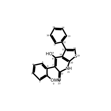 COc1ccccc1-c1c(O)c2c(-c3ccccc3)csc2[nH]c1=O